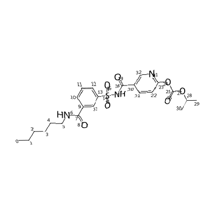 CCCCCCNC(=O)c1cccc(S(=O)(=O)NC(=O)c2ccc(OC(=O)OC(C)C)nc2)c1